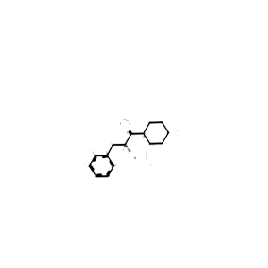 N[C@@H](Cc1ccccc1)C(=O)C1CCCCC1